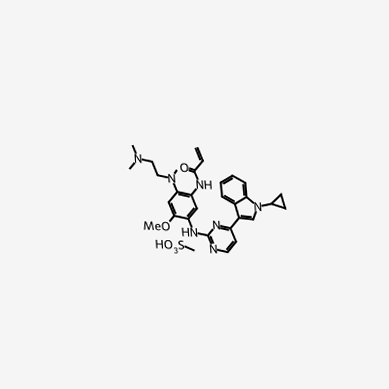 C=CC(=O)Nc1cc(Nc2nccc(-c3cn(C4CC4)c4ccccc34)n2)c(OC)cc1N(C)CCN(C)C.CS(=O)(=O)O